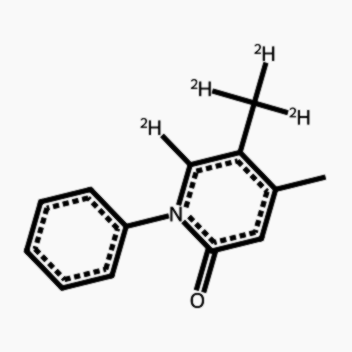 [2H]c1c(C([2H])([2H])[2H])c(C)cc(=O)n1-c1ccccc1